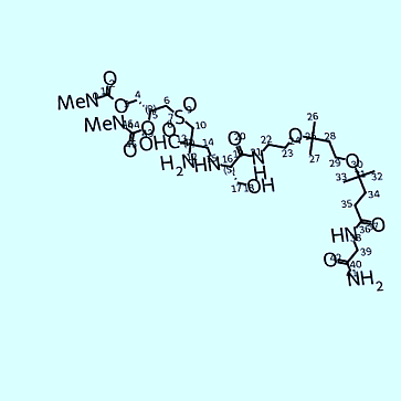 CNC(=O)OC[C@H](CS(=O)(=O)C[C@](N)(C=O)CN[C@@H](CO)C(=O)NCCOC(C)(C)CCOC(C)(C)CCC(=O)NCC(N)=O)OC(=O)NC